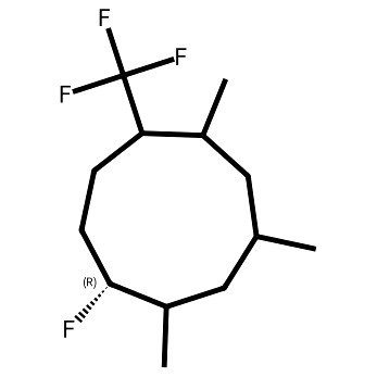 CC1CC(C)C(C(F)(F)F)CC[C@@H](F)C(C)C1